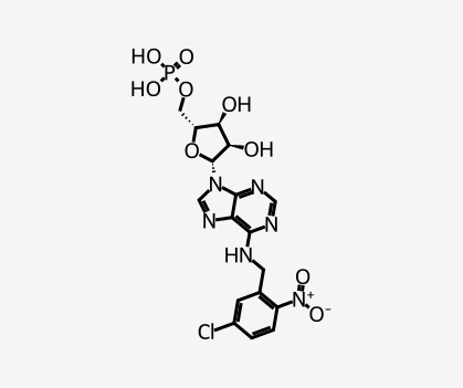 O=[N+]([O-])c1ccc(Cl)cc1CNc1ncnc2c1ncn2[C@@H]1O[C@H](COP(=O)(O)O)[C@@H](O)[C@H]1O